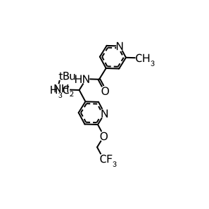 CC(C)(C)N.Cc1cc(C(=O)NC(C)c2ccc(OCC(F)(F)F)nc2)ccn1